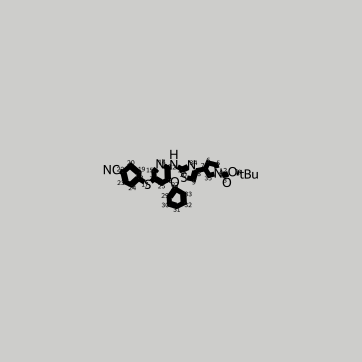 CC(C)(C)OC(=O)N1CCC(c2csc(Nc3ncc(Sc4ccc(C#N)cc4)cc3Oc3ccccc3)n2)C1